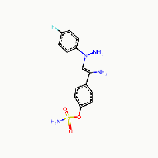 N/C(=C\N(N)c1ccc(F)cc1)c1ccc(OS(N)(=O)=O)cc1